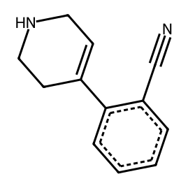 N#Cc1ccccc1C1=CCNCC1